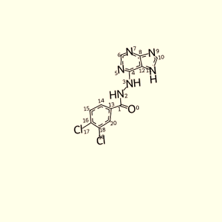 O=C(NNc1ncnc2nc[nH]c12)c1ccc(Cl)c(Cl)c1